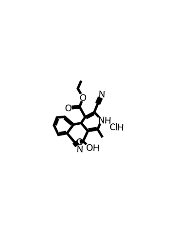 CCOC(=O)C1=C(C#N)NC(C)=C(C(=O)O)C1c1ccccc1C#N.Cl